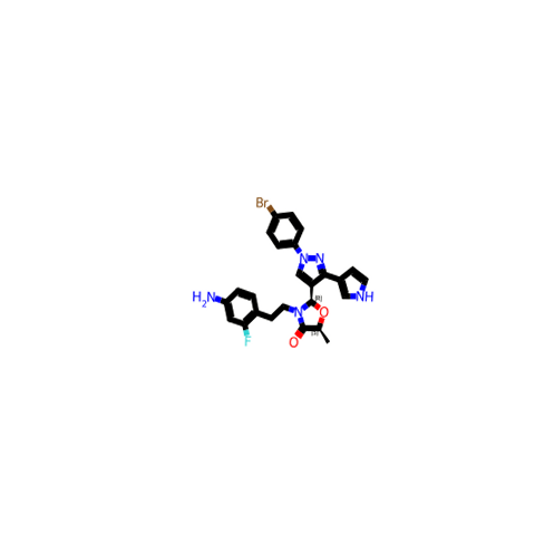 C[C@@H]1O[C@H](c2cn(-c3ccc(Br)cc3)nc2-c2cc[nH]c2)N(CCc2ccc(N)cc2F)C1=O